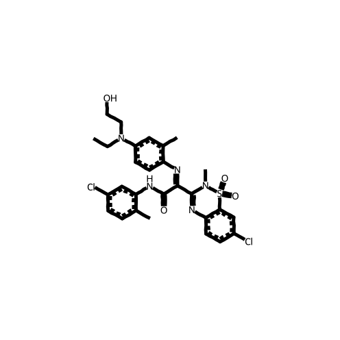 CCN(CCO)c1ccc(/N=C(\C(=O)Nc2cc(Cl)ccc2C)C2=Nc3ccc(Cl)cc3S(=O)(=O)N2C)c(C)c1